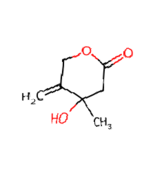 C=C1COC(=O)CC1(C)O